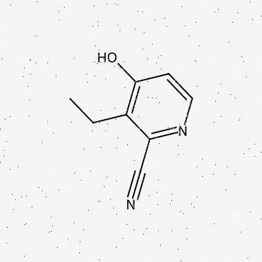 CCc1c(O)ccnc1C#N